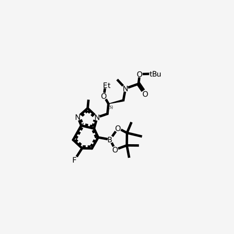 CCO[C@@H](CN(C)C(=O)OC(C)(C)C)Cn1c(C)nc2cc(F)cc(B3OC(C)(C)C(C)(C)O3)c21